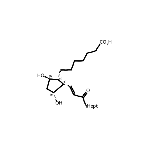 CCCCCCCC(=O)C=C[C@H]1[C@@H](CCCCCCC(=O)O)[C@H](O)C[C@H]1O